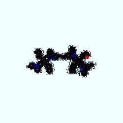 Cc1ccc2c(c1)c1cccc3c4cc5c(-c6ccc7ccccc7c6)c6cc7c(cc6c(-c6ccc8ccccc8c6)c5cc4n2c13)c1cccc2c3cc(CCC(C)(C)c4cc5c6ccccc6n6c8cc9c(-c%10ccc%11ccccc%11c%10)c%10cc%11c%12cc(C(C)(C)C)cc%13c%14ccccc%14n(c%11cc%10c(-c%10ccc%11ccccc%11c%10)c9cc8c(c4)c56)c%13%12)ccc3n7c21